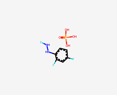 FNNc1ccc(F)cc1F.O=P(O)(O)O